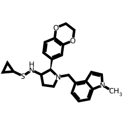 Cn1ccc2c(CN3CCC(NSC4CC4)[C@H]3c3ccc4c(c3)OCCO4)cccc21